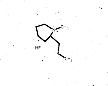 CCCC1CCCCN1C.F